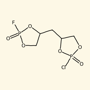 O=P1(F)OCC(CC2COP(=O)(Cl)O2)O1